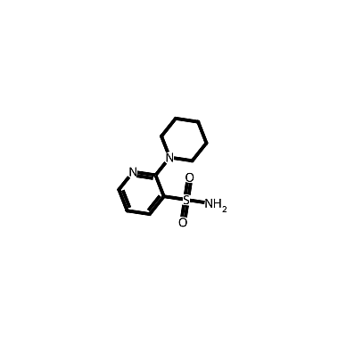 NS(=O)(=O)c1cccnc1N1CCCCC1